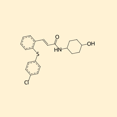 O=C(C=Cc1ccccc1Sc1ccc(Cl)cc1)NC1CCC(O)CC1